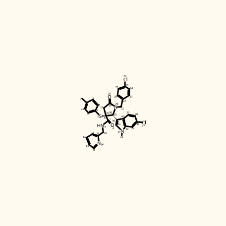 Cc1ccc(S[C@@]2(C(=O)NCc3ccccn3)CC(=O)N(Cc3ccc(Cl)cc3)[C@@H]2c2cn(C)c3cc(Cl)ccc23)cc1